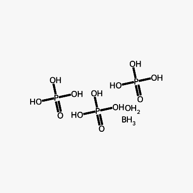 B.O.O=P(O)(O)O.O=P(O)(O)O.O=P(O)(O)O